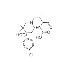 C[C@@H](CN1CC[C@](O)(c2ccc(Cl)cc2)C(C)(C)C1)C(C=O)NC(=O)O